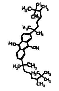 CC(CCCC(C)(C)c1ccc2c(O)c3ccc(C(C)(C)CCCC(C)C(C)(C)C)cc3c(O)c2c1)C(C)(C)C